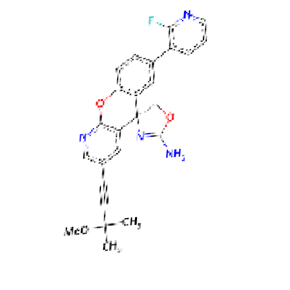 COC(C)(C)C#Cc1cnc2c(c1)[C@@]1(COC(N)=N1)c1cc(-c3cccnc3F)ccc1O2